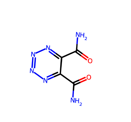 NC(=O)c1nnnnc1C(N)=O